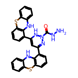 NNC(=O)N1N=C(c2cccc3c2Nc2ccccc2S3)C=C(c2cccc3c2Nc2ccccc2S3)N1